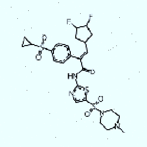 CN1CCN(S(=O)(=O)c2cnc(NC(=O)/C(=C/C3CC(F)C(F)C3)c3ccc(S(=O)(=O)C4CC4)cc3)s2)CC1